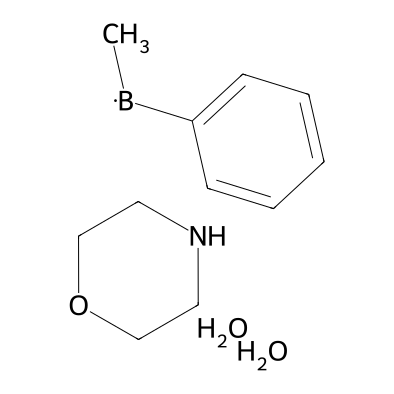 C1COCCN1.C[B]c1ccccc1.O.O